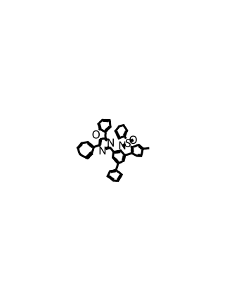 Cc1ccc2c(c1)S(=O)(C1=CCCC=C1)=Nc1c(-c3nc(C4=CC=CCC#C4)c4oc5ccccc5c4n3)cc(-c3ccccc3)cc1-2